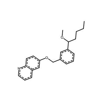 CCCCC(OC)c1cccc(COc2ccc3ncccc3c2)c1